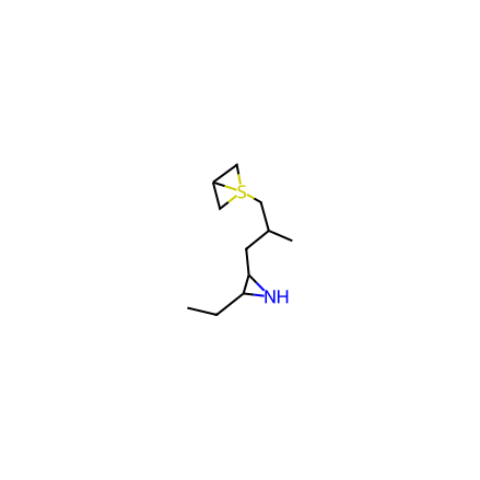 CCC1NC1CC(C)CS12CC1C2